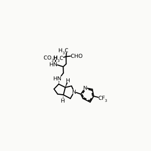 CC(C)(C=O)CC(CN[C@H]1CC[C@@H]2CN(c3ccc(C(F)(F)F)cn3)C[C@H]21)NC(=O)O